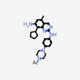 CC(=O)N1CCN(c2ccc(Nc3ncc4c(C)cc(N)c(C5CCCC5)c4n3)cc2)CC1